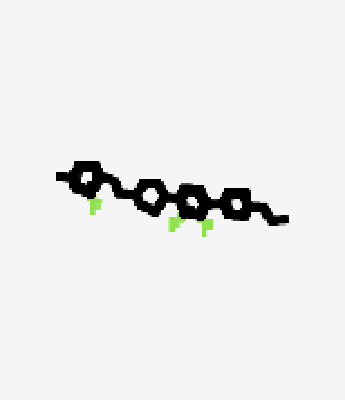 CCCc1ccc(-c2ccc(C3CCC(CCc4ccc(C)cc4F)CC3)c(F)c2F)cc1